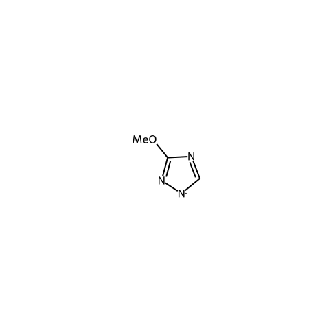 COC1=N[N]C=N1